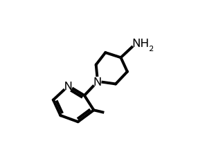 Cc1cccnc1N1CCC(N)CC1